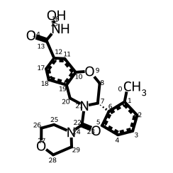 Cc1ccccc1[C@H]1COc2cc(C(=O)NO)ccc2CN1C(=O)N1CCOCC1